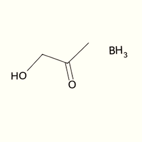 B.CC(=O)CO